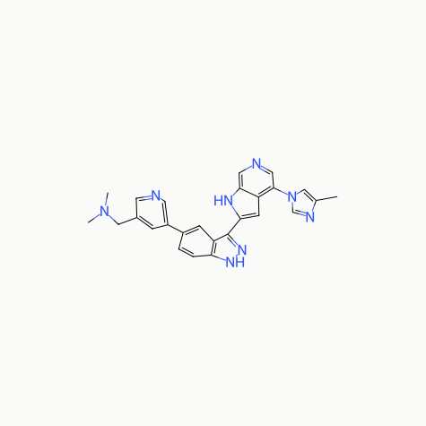 Cc1cn(-c2cncc3[nH]c(-c4n[nH]c5ccc(-c6cncc(CN(C)C)c6)cc45)cc23)cn1